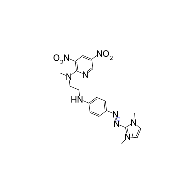 CN(CCNc1ccc(/N=N/c2n(C)cc[n+]2C)cc1)c1ncc([N+](=O)[O-])cc1[N+](=O)[O-]